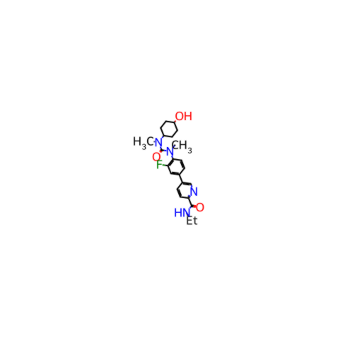 CCNC(=O)c1ccc(-c2ccc(N(C)C(=O)N(C)C3CCC(O)CC3)c(F)c2)cn1